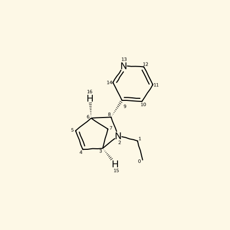 CCN1[C@H]2C=C[C@H](C2)[C@@H]1c1cccnc1